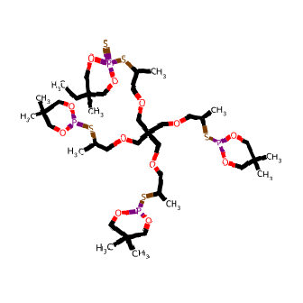 CCC1(C)COP(=S)(SC(C)COCC(COCC(C)SP2OCC(C)(C)CO2)(COCC(C)SP2OCC(C)(C)CO2)COCC(C)SP2OCC(C)(C)CO2)OC1